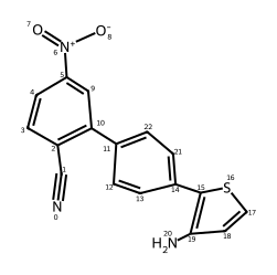 N#Cc1ccc([N+](=O)[O-])cc1-c1ccc(-c2sccc2N)cc1